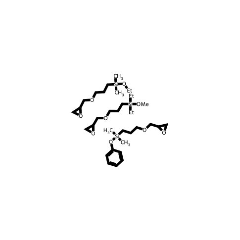 CCO[Si](C)(C)CCCOCC1CO1.CC[Si](CC)(CCCOCC1CO1)OC.C[Si](C)(CCCOCC1CO1)Oc1ccccc1